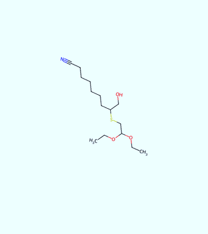 CCOC(CSC(CO)CCCCCCC#N)OCC